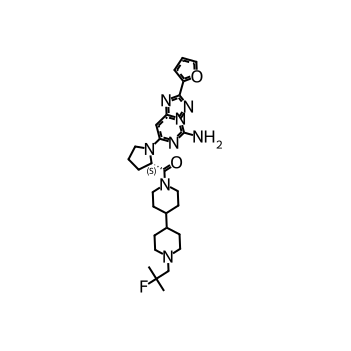 CC(C)(F)CN1CCC(C2CCN(C(=O)[C@@H]3CCCN3c3cc4nc(-c5ccco5)nn4c(N)n3)CC2)CC1